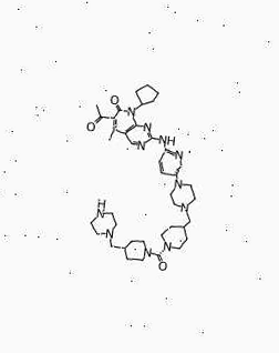 CC(=O)c1c(C)c2cnc(Nc3ccc(N4CCN(CC5CCN(C(=O)N6CCC(CN7CCNCC7)CC6)CC5)CC4)cn3)nc2n(C2CCCC2)c1=O